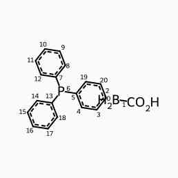 BC(=O)O.c1ccc(P(c2ccccc2)c2ccccc2)cc1